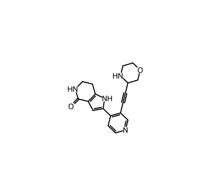 O=C1NCCc2[nH]c(-c3ccncc3C#CC3COCCN3)cc21